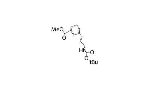 COC(=O)c1cccc(/C=C/CNC(=O)OC(C)(C)C)c1